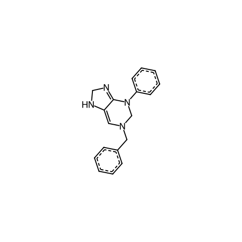 C1=C2NCN=C2N(c2ccccc2)CN1Cc1ccccc1